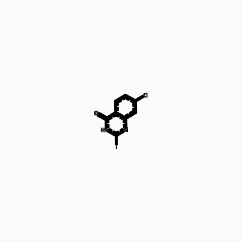 O=c1[nH]c(I)nc2cc(Cl)ccc12